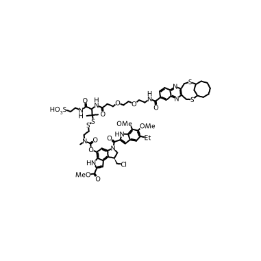 CCc1cc2cc(C(=O)N3C[C@@H](CCl)c4c3cc(OC(=O)N(C)CCSSC(C)(C)C(NC(=O)CCOCCOCCNC(=O)c3ccc5nc6c(nc5c3)CSC3CCCCCC(C3)SC6)C(=O)NCCS(=O)(=O)O)c3[nH]c(C(=O)OC)cc43)[nH]c2c(OC)c1OC